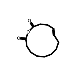 O=C1CC/C=C/CCCCCCCC(=O)O1